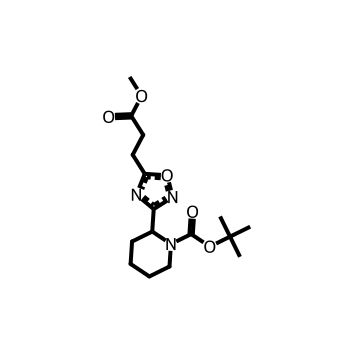 COC(=O)CCc1nc(C2CCCCN2C(=O)OC(C)(C)C)no1